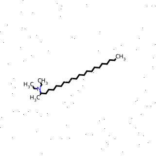 CCCCCCCCCCCCCCCCCCCCC(C)N(CC)CC